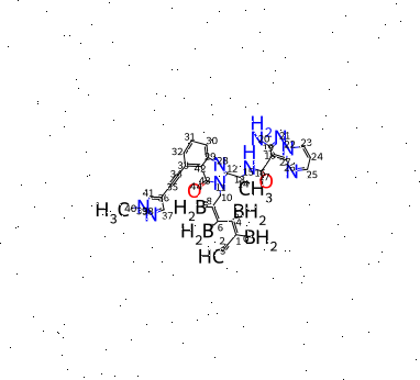 B/C(C#C)=C(B)/C(B)=C(/B)Cn1c([C@@H](C)NC(=O)c2c(N)nn3cccnc23)nc2cccc(C#Cc3cnn(C)c3)c2c1=O